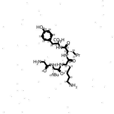 CCCC[C@H](NC(=O)CN)C(=O)N[C@@H](CCCCN)C(=O)N[C@@H](CC(C)C)C(=O)N[C@@H](Cc1ccc(O)cc1)C(=O)O